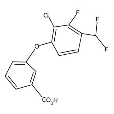 O=C(O)c1cccc(Oc2ccc(C(F)F)c(F)c2Cl)c1